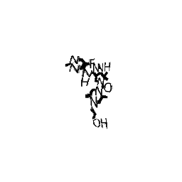 Cc1ncc(F)c(Nc2n[nH]c3c2CN(C(=O)N2CC(C)N(CCCO)CC2C)C3(C)C)n1